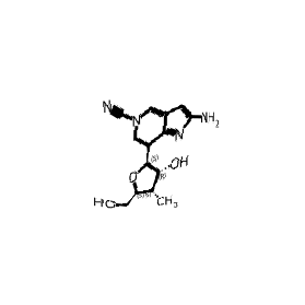 C[C@H]1[C@@H](O)[C@H](C2CN(C#N)C=C3C=C(N)N=C32)O[C@@H]1CO